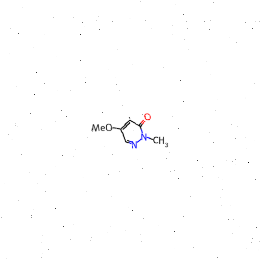 COc1[c]c(=O)n(C)nc1